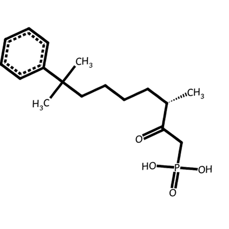 C[C@@H](CCCCC(C)(C)c1ccccc1)C(=O)CP(=O)(O)O